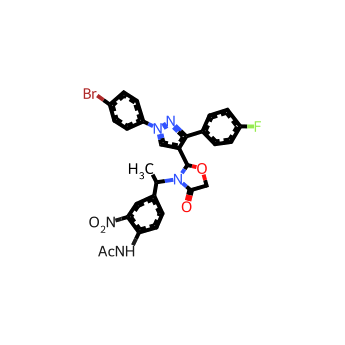 CC(=O)Nc1ccc(C(C)N2C(=O)COC2c2cn(-c3ccc(Br)cc3)nc2-c2ccc(F)cc2)cc1[N+](=O)[O-]